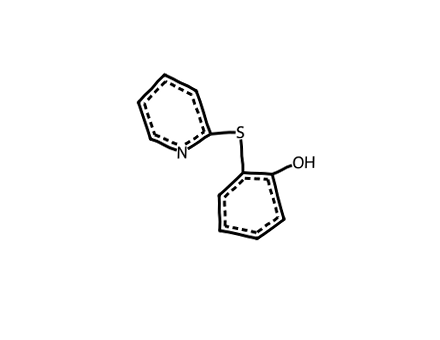 Oc1ccccc1Sc1ccccn1